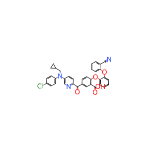 N#Cc1ccccc1Oc1ccccc1Oc1ccc(C(=O)c2ccc(N(CC3CC3)c3ccc(Cl)cc3)cn2)cc1C(=O)O